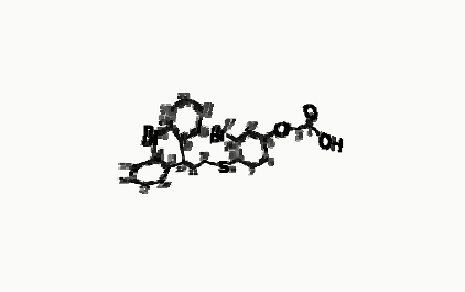 O=C(O)COc1ccc(SCC=C(c2ccccc2)c2ccccc2Br)c(Br)c1